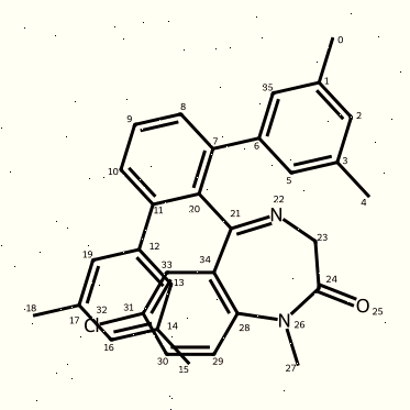 Cc1cc(C)cc(-c2cccc(-c3cc(C)cc(C)c3)c2C2=NCC(=O)N(C)c3ccc(Cl)cc32)c1